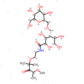 CCCOC(C)C(=O)C(C)(C)OCCNC(=O)C(O)C(O)[C@H](COC[C@H]1OC(CO)[C@H](O)C(O)C1O)C(O)CO